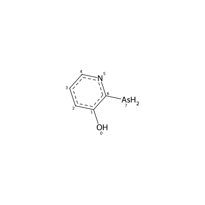 Oc1cccnc1[AsH2]